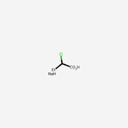 CCC(Cl)C(=O)O.[NaH]